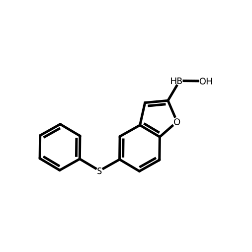 OBc1cc2cc(Sc3ccccc3)ccc2o1